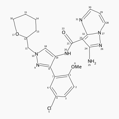 COc1ccc(Cl)cc1-c1nn(CC2CCCCO2)cc1NC(=O)c1c(N)nn2cccnc12